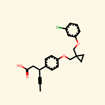 CC#CC(CC(=O)O)c1ccc(OCC2(COc3cccc(Cl)c3)CC2)cc1